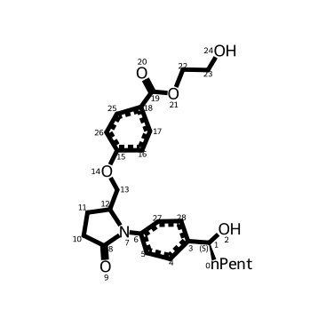 CCCCC[C@H](O)c1ccc(N2C(=O)CCC2COc2ccc(C(=O)OCCO)cc2)cc1